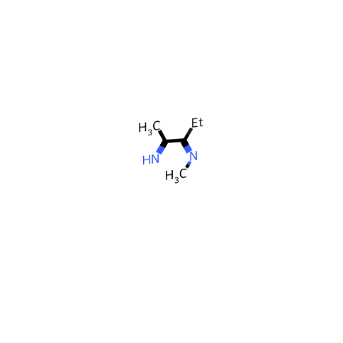 CC/C(=N/C)C(C)=N